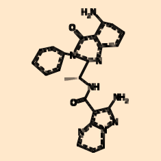 C[C@@H](NC(=O)c1c(N)nn2cccnc12)c1nc2cccc(N)c2c(=O)n1-c1ccccc1